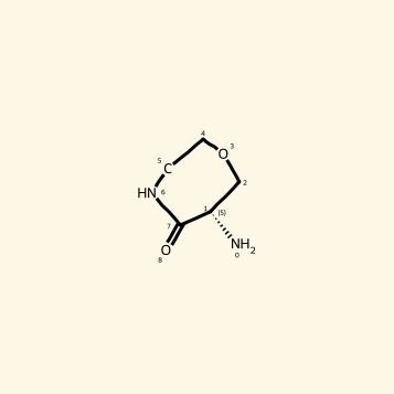 N[C@H]1COCCNC1=O